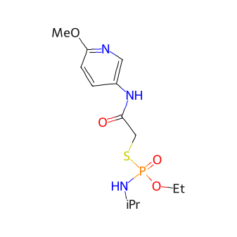 CCOP(=O)(NC(C)C)SCC(=O)Nc1ccc(OC)nc1